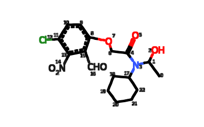 CC(O)N(C(=O)COc1ccc(Cl)c([N+](=O)[O-])c1C=O)C1CCCCC1